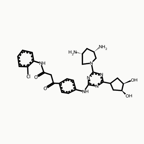 N[C@@H]1C[C@H](N)CN(c2nc(Nc3ccc(C(=O)CC(=O)Nc4ccccc4Cl)cc3)nc(C3C[C@@H](O)[C@@H](O)C3)n2)C1